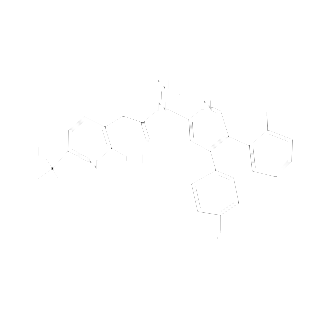 Cc1nc(C(F)(F)F)ccc1CC(=O)N(N)c1cc(-c2ccc(Cl)cc2)c(-c2ccccc2Cl)cn1